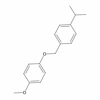 COc1ccc(OCc2ccc(C(C)C)cc2)cc1